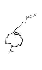 CCCCc1ccc(CCC(=O)OCC)cc1